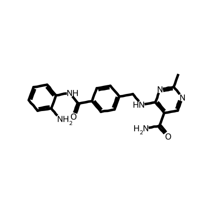 Cc1ncc(C(N)=O)c(NCc2ccc(C(=O)Nc3ccccc3N)cc2)n1